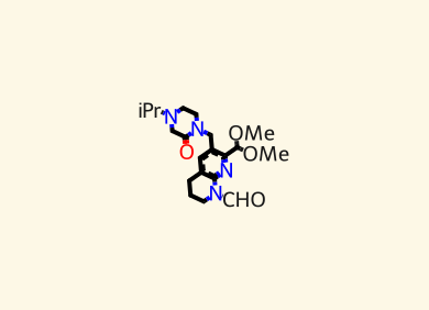 COC(OC)c1nc2c(cc1CN1CCN(C(C)C)CC1=O)CCCN2C=O